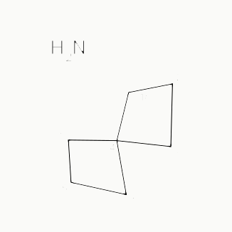 N[C@@H]1CCC12CCC2